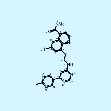 CNC(=O)c1ccnc2c(CCNc3cc(-c4cnc(C)nc4)ncn3)cc(F)cc12